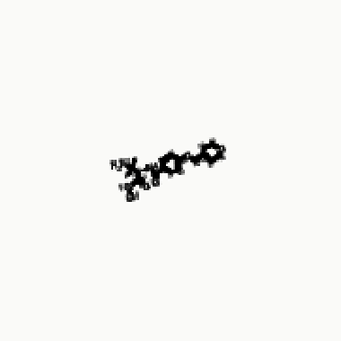 CC(C)(N)[C@H](NC(=O)c1ccc(OCC2=CCOCC2)cc1)C(=O)NO